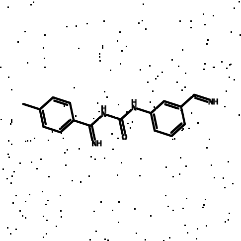 Cc1ccc(C(=N)NC(=O)Nc2cccc(C=N)c2)cc1